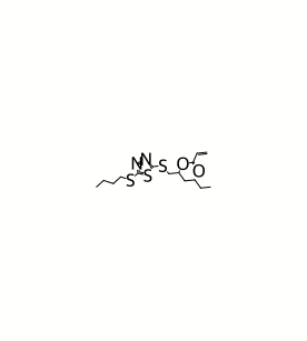 C=CC(=O)OC(CCCC)CSc1nnc(SCCCC)s1